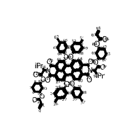 C=CC(=O)OC1CCCC(OC(=O)C(C(C)C)N2C(=O)c3cc(Oc4ccc(C)cc4)c4c5c(Oc6ccc(C)cc6)cc6c7c(cc(Oc8ccc(C)cc8)c(c8c(Oc9ccc(C)cc9)cc(c3c48)C2=O)c75)C(=O)N(C(C(=O)OC2CCCC(OC(=O)C=C)C2)C(C)C)C6=O)C1